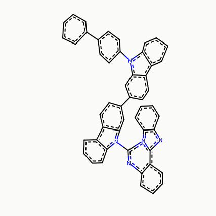 c1ccc(-c2ccc(-n3c4ccccc4c4ccc(-c5ccc6c7ccccc7n(-c7nc8ccccc8c8nc9ccccc9n78)c6c5)cc43)cc2)cc1